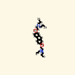 CCCN(CCC)CCOc1ccc2c(c1)Cc1cc(OCCN(CCC)CCC)ccc1-2